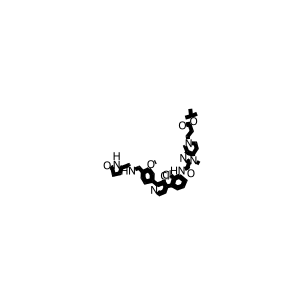 COc1cc(-c2nccc(-c3cccc(NC(=O)c4nc5c(n4C)CCN(CCC(=O)OC(C)(C)C)C5)c3Cl)c2Cl)ccc1CNCC1CCC(=O)N1